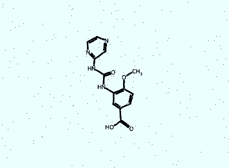 COc1ccc(C(=O)O)cc1NC(=O)Nc1cnccn1